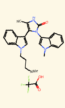 CNCCCn1cc(-c2c(C#N)[nH]c(=O)n2-c2cn(C)c3ccccc23)c2ccccc21.O=C(O)C(F)(F)F